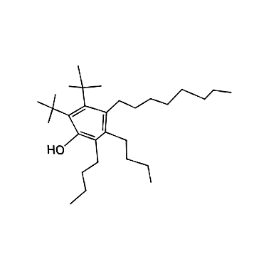 CCCCCCCCc1c(CCCC)c(CCCC)c(O)c(C(C)(C)C)c1C(C)(C)C